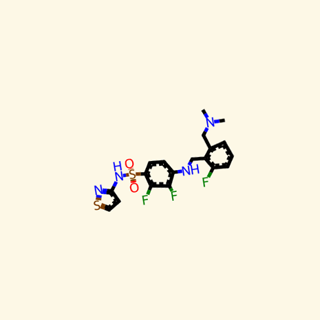 CN(C)Cc1cccc(F)c1CNc1ccc(S(=O)(=O)Nc2ccsn2)c(F)c1F